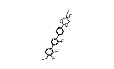 CCCC1(F)COC(c2ccc(-c3ccc(-c4ccc(CC)c(F)c4F)cc3F)cc2)OC1